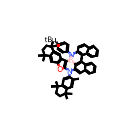 Cc1cc2c(cc1N1c3cc4ccccc4c4c3B(c3c1oc1cc5c(cc31)C(C)(C)CCC5(C)C)N(c1ccc(C(C)(C)C)cc1)c1ccc3ccccc3c1-4)C(C)(C)CCC2(C)C